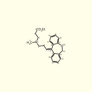 CCOC(=O)CCN(C)CC/C=C1/c2ccccc2COc2ccccc21